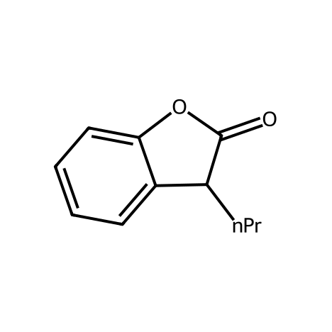 CCCC1C(=O)Oc2ccccc21